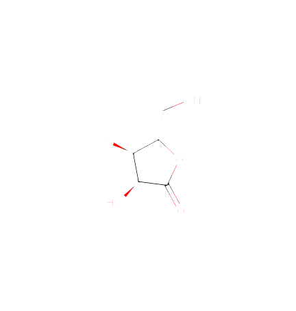 O=C1O[C@@H](CO)[C@H](O)[C@@H]1O